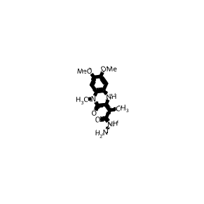 COc1cc2c(cc1OC)N(C)C(=O)C(C(C)C(=O)NN)N2